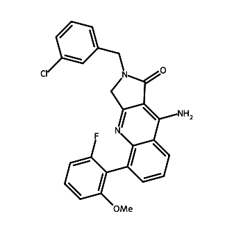 COc1cccc(F)c1-c1cccc2c(N)c3c(nc12)CN(Cc1cccc(Cl)c1)C3=O